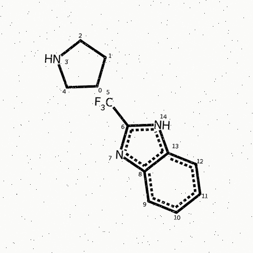 C1CCNC1.FC(F)(F)c1nc2ccccc2[nH]1